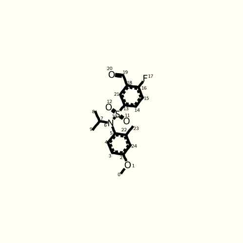 COc1ccc(N(C(C)C)S(=O)(=O)c2ccc(F)c(C=O)c2)c(C)c1